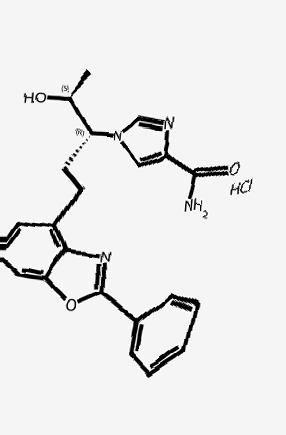 C[C@H](O)[C@@H](CCc1cccc2oc(-c3ccccc3)nc12)n1cnc(C(N)=O)c1.Cl